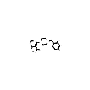 Fc1ccc(CN2CCN(c3ncnc4[nH]nc(Br)c34)CC2)c(Cl)c1